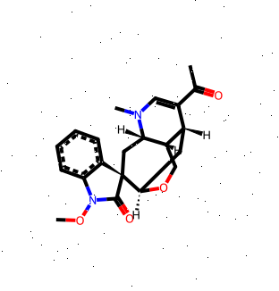 CON1C(=O)[C@@]2(C[C@H]3[C@H]4CO[C@@H]2C[C@H]4C(C(C)=O)=CN3C)c2ccccc21